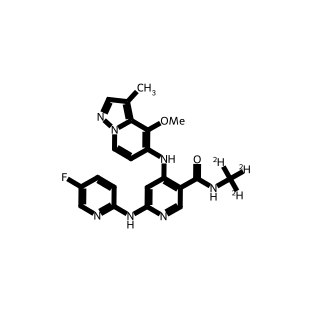 [2H]C([2H])([2H])NC(=O)c1cnc(Nc2ccc(F)cn2)cc1Nc1ccn2ncc(C)c2c1OC